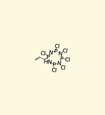 C=CCP1(Cl)=NP(Cl)N(Cl)P(Cl)N(Cl)P(Cl)N1